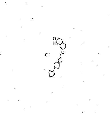 C[N+]1(CCCOc2ccc3c(c2)NC(=O)CC3)CCC(c2ccccc2)CC1.[Cl-]